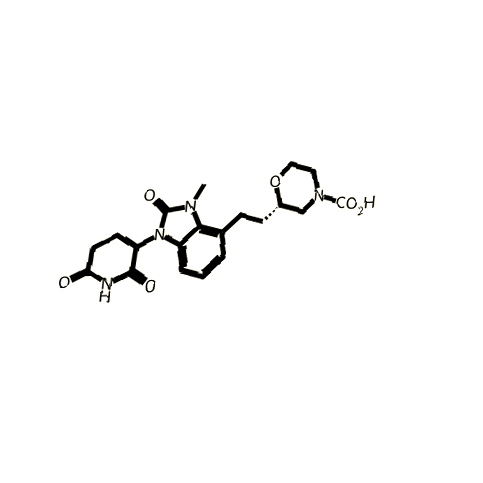 Cn1c(=O)n(C2CCC(=O)NC2=O)c2cccc(CC[C@H]3CN(C(=O)O)CCO3)c21